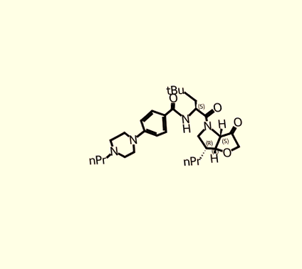 CCC[C@@H]1CN(C(=O)[C@H](CC(C)(C)C)NC(=O)c2ccc(N3CCN(CCC)CC3)cc2)[C@@H]2C(=O)CO[C@H]12